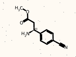 COC(=O)C[C@H](N)c1ccc(C#N)cc1